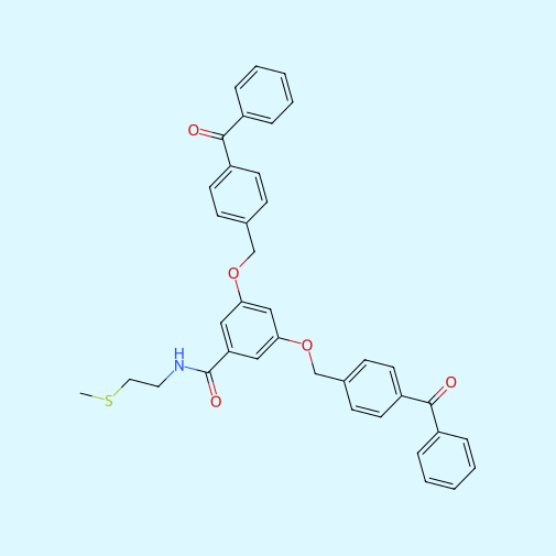 CSCCNC(=O)c1cc(OCc2ccc(C(=O)c3ccccc3)cc2)cc(OCc2ccc(C(=O)c3ccccc3)cc2)c1